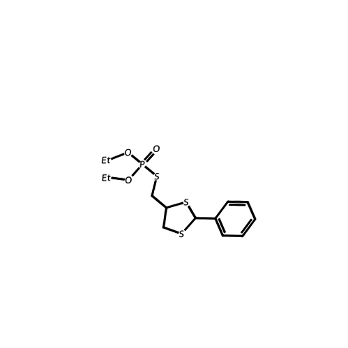 CCOP(=O)(OCC)SCC1CSC(c2ccccc2)S1